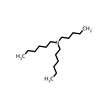 [CH2]CCCCN(CCCCCC)CCCCCC